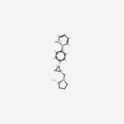 C[C@H]1CCCN1C[C@H]1C[C@@H]1c1ccc(N2C=CC=CN2)cc1